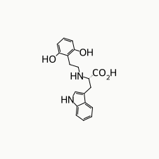 O=C(O)[C@H](Cc1c[nH]c2ccccc12)NCCc1c(O)cccc1O